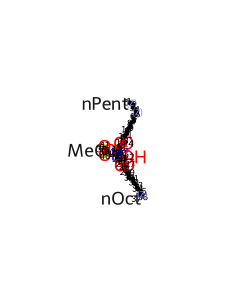 CCCCC/C=C\C/C=C\CCCCCCCC(=O)OCC[N+](C)(CCO)CCOC(=O)CCCCCCC/C=C\CCCCCCCC.COS(=O)(=O)[O-]